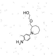 Cc1cc(N2CCCCCC(COCCO)C2)ccc1N